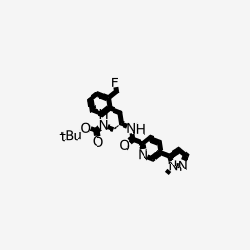 Cn1nccc1-c1ccc(C(=O)N[C@H](CNC(=O)OC(C)(C)C)Cc2ccccc2CF)nc1